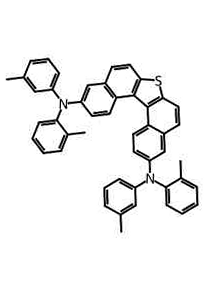 Cc1cccc(N(c2ccc3c(ccc4sc5ccc6cc(N(c7cccc(C)c7)c7ccccc7C)ccc6c5c43)c2)c2ccccc2C)c1